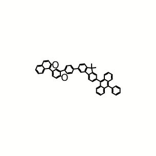 CC1(C)c2ccc(-c3ccc4c(c3)oc3ccc5c(oc6ccc7ccccc7c65)c34)cc2-c2ccc(-c3c4ccccc4c(-c4ccccc4)c4ccccc34)cc21